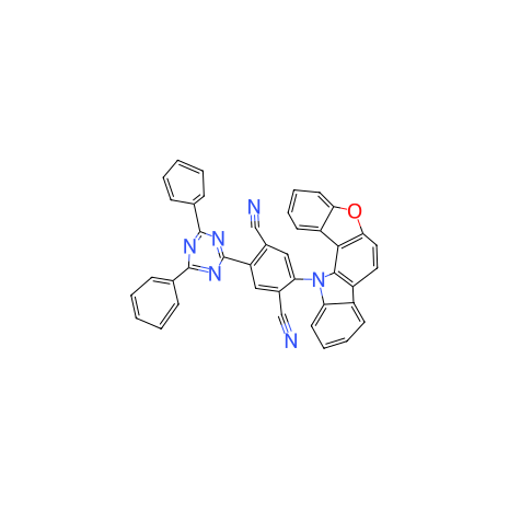 N#Cc1cc(-n2c3ccccc3c3ccc4oc5ccccc5c4c32)c(C#N)cc1-c1nc(-c2ccccc2)nc(-c2ccccc2)n1